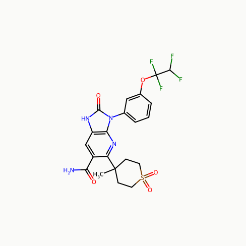 CC1(c2nc3c(cc2C(N)=O)[nH]c(=O)n3-c2cccc(OC(F)(F)C(F)F)c2)CCS(=O)(=O)CC1